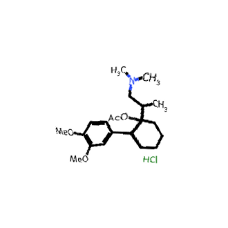 COc1ccc(C2CCCCC2(OC(C)=O)C(C)CN(C)C)cc1OC.Cl